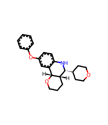 c1ccc(Oc2ccc3c(c2)[C@H]2OCCC[C@H]2[C@@H](C2CCOCC2)N3)cc1